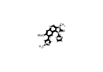 COc1cc2ncc3c(c2cc1-c1cnn(C)c1)n(-c1nccs1)c(=O)n3C